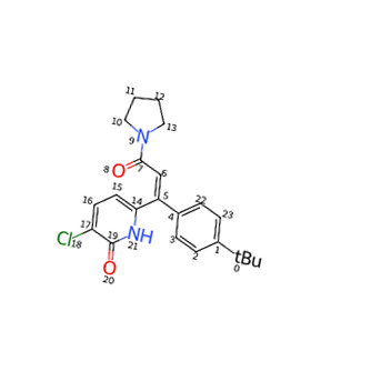 CC(C)(C)c1ccc(C(=CC(=O)N2CCCC2)c2ccc(Cl)c(=O)[nH]2)cc1